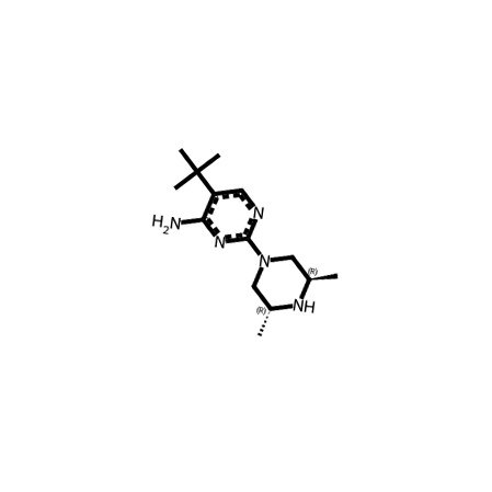 C[C@@H]1CN(c2ncc(C(C)(C)C)c(N)n2)C[C@@H](C)N1